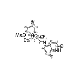 CCC(CC(O)(/C=N/c1ccc(F)c2[nH]c(=O)ccc12)C(F)(F)F)c1ccc(Br)cc1OC